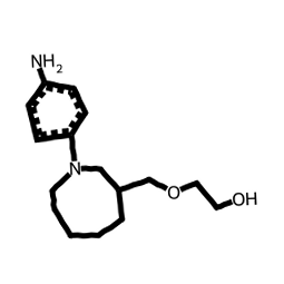 Nc1ccc(N2CCCCCC(COCCO)C2)cc1